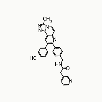 Cc1nnc2c3cc(-c4ccccc4)c(-c4ccc(CNC(=O)Cc5cccnc5)cc4)nc3ccn12.Cl